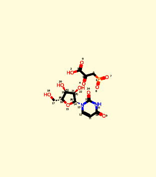 O=C(O)C(=O)CP(=O)=O.O=c1ccn([C@@H]2O[C@H](CO)[C@@H](O)[C@H]2O)c(=O)[nH]1